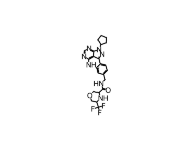 Nc1ncnc2c1c(-c1ccc(CNC(=O)C3COCC(C(F)(F)F)N3)cc1)nn2C1CCCC1